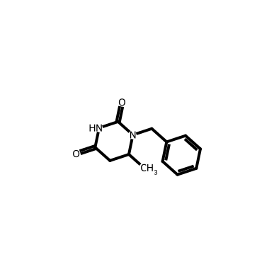 CC1CC(=O)NC(=O)N1Cc1ccccc1